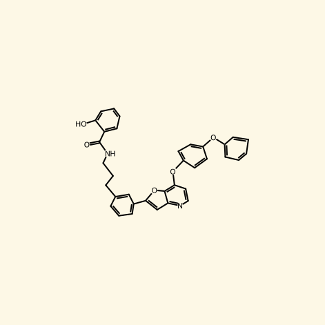 O=C(NCCCc1cccc(-c2cc3nccc(Oc4ccc(Oc5ccccc5)cc4)c3o2)c1)c1ccccc1O